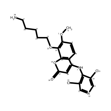 COc1ccc2c(Nc3c(Cl)cncc3Cl)cc(=O)oc2c1OCCCCCN